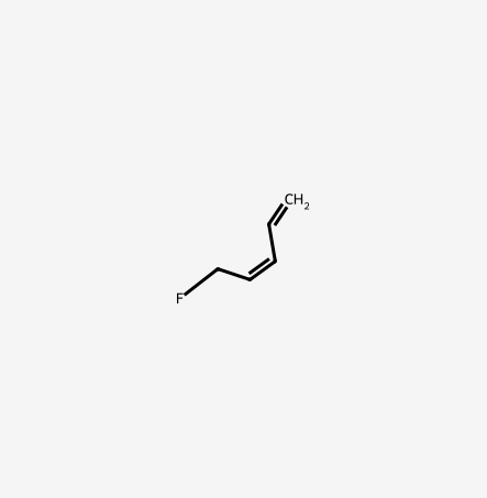 C=C/C=C\CF